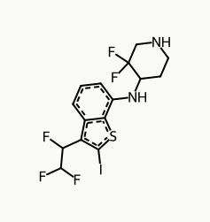 FC(F)C(F)c1c(I)sc2c(NC3CCNCC3(F)F)cccc12